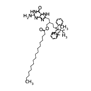 CCCCCCCCCCCCCCCCCC(=O)OCC(CC[Si](c1ccccc1)(c1ccccc1)C(C)(C)C)Cc1nc2nc(N)[nH]c(=O)c2[nH]1